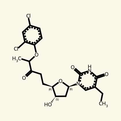 CCc1cn([C@H]2C[C@H](O)[C@@H](CCC(=O)C(C)Oc3ccc(Cl)cc3Cl)O2)c(=O)[nH]c1=O